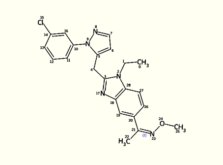 CCn1c(Cc2ccnn2-c2cccc(Cl)c2)nc2cc(/C(C)=N\OC)ccc21